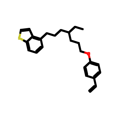 C=Cc1ccc(OCCCC(CC)CCCc2cccc3sccc23)cc1